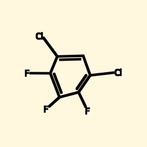 Fc1c(Cl)cc(Cl)c(F)c1F